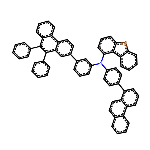 c1ccc(-c2c(-c3ccccc3)c3cc(-c4cccc(N(c5ccc(-c6cccc7c6ccc6ccccc67)cc5)c5cccc6sc7ccccc7c56)c4)ccc3c3ccccc23)cc1